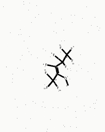 COC(=C(F)C(F)(F)C(F)(F)F)C(F)(F)F